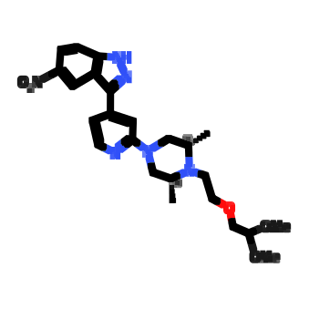 COC(COCCN1[C@H](C)CN(c2cc(-c3n[nH]c4ccc([N+](=O)[O-])cc34)ccn2)C[C@@H]1C)OC